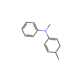 CC1C=CC(N(C)c2ccccc2)=CC1